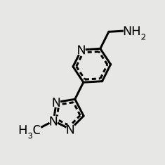 Cn1ncc(-c2ccc(CN)nc2)n1